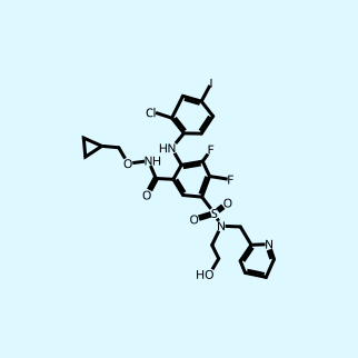 O=C(NOCC1CC1)c1cc(S(=O)(=O)N(CCO)Cc2ccccn2)c(F)c(F)c1Nc1ccc(I)cc1Cl